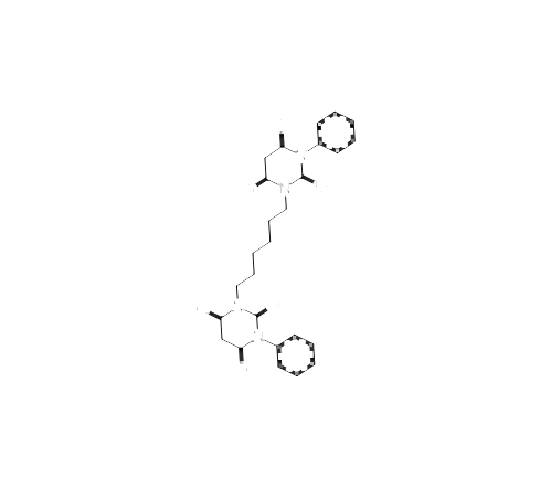 O=C1CC(=O)N(c2ccccc2)C(=O)N1CCCCCCN1C(=O)CC(=O)N(c2ccccc2)C1=O